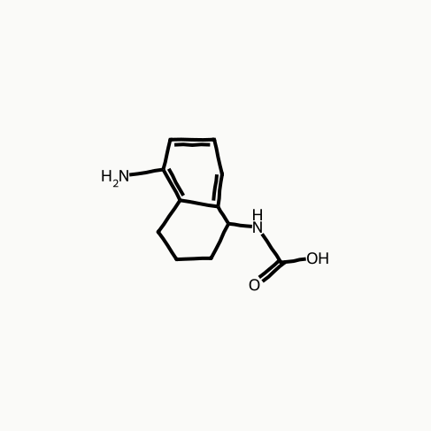 Nc1cccc2c1CCCC2NC(=O)O